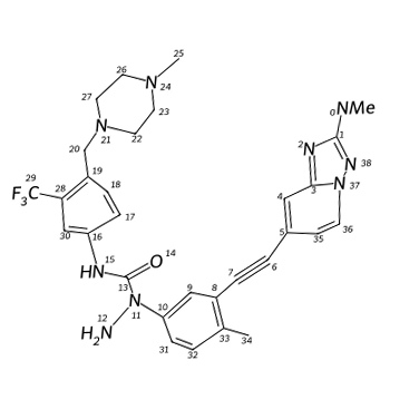 CNc1nc2cc(C#Cc3cc(N(N)C(=O)Nc4ccc(CN5CCN(C)CC5)c(C(F)(F)F)c4)ccc3C)ccn2n1